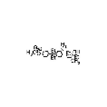 CCC(CC)(c1ccc(OS(C)(=O)=O)cc1)c1ccc(CCC(C)C(O)(CC)CC)c(C)c1